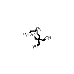 CCCC.OCC(CO)(CO)CO